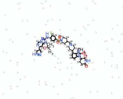 CC(C)Oc1c(-c2cn[nH]c2)ncn2nc(Nc3ccc(S(=O)(=O)N4CCC(CN5CCC(c6cccc7c6n(C)c(=O)n7[C@@H]6CCC(=O)NC6=O)CC5)CC4)cc3F)nc12